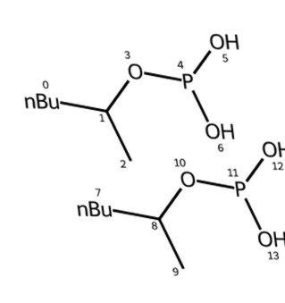 CCCCC(C)OP(O)O.CCCCC(C)OP(O)O